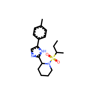 CCC(C)S(=O)(=O)N1CCCCC1c1ncc(-c2ccc(C)cc2)[nH]1